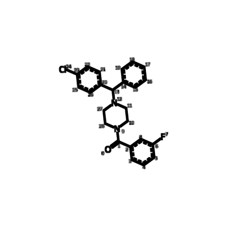 O=C(c1cccc(F)c1)N1CCN(C(c2ccccc2)c2ccc(Cl)cc2)CC1